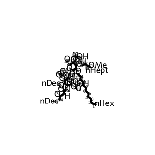 CCCCCC/C=C\CCCCCCCCCC(=O)O[C@H]1[C@H](OC[C@H]2O[C@H](OP(=O)(O)O)[C@@H](NC(=O)CC(=O)CCCCCCCCCCC)[C@@H](OCCCCCCCCCC)[C@@H]2OP(=O)(O)O)O[C@H](COC)[C@@H](OP(=O)(O)O)[C@@H]1OCC[C@H](CCCCCCC)OC